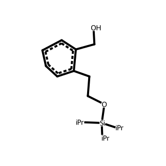 CC(C)[Si](OCCc1ccccc1CO)(C(C)C)C(C)C